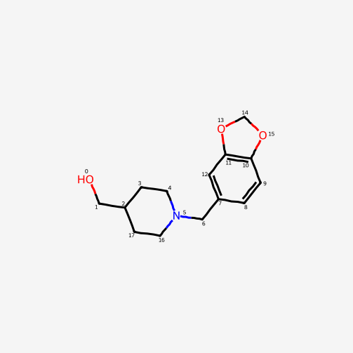 OCC1CCN(Cc2ccc3c(c2)OCO3)CC1